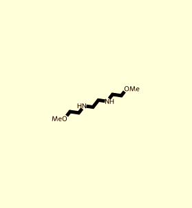 COCCNCCNCCOC